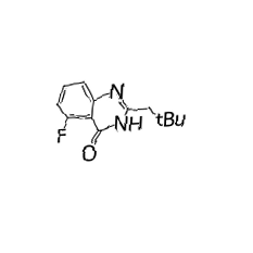 CC(C)(C)Cc1nc2cccc(F)c2c(=O)[nH]1